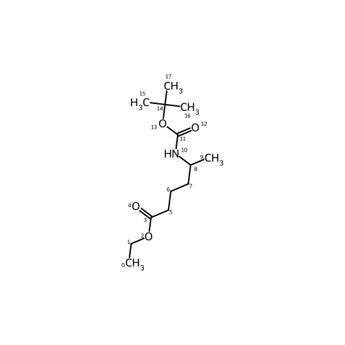 CCOC(=O)CCCC(C)NC(=O)OC(C)(C)C